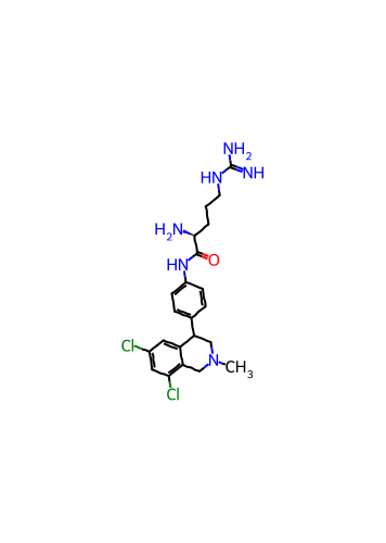 CN1Cc2c(Cl)cc(Cl)cc2C(c2ccc(NC(=O)[C@@H](N)CCCNC(=N)N)cc2)C1